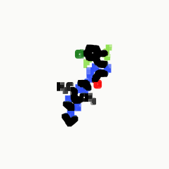 Cc1nc(N2CCC2)cnc1[C@@H](C)n1cc(NC(=O)c2cncc(-c3c(C(F)F)ccc(Cl)c3F)n2)cn1